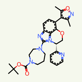 Cc1noc(C)c1-c1ccc2nc(N3CCCN(C(=O)OC(C)(C)C)CC3)n3c2c1OC[C@@H]3c1ccccn1